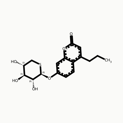 CCCc1cc(=O)oc2cc(O[C@@H]3SC[C@@H](O)[C@H](O)[C@H]3O)ccc12